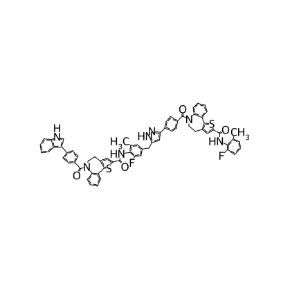 Cc1cccc(F)c1NC(=O)c1cc2c(s1)-c1ccccc1N(C(=O)c1ccc(-c3cc(Cc4cc(C)c(NC(=O)c5cc6c(s5)-c5ccccc5N(C(=O)c5ccc(-c7c[nH]c8ccccc78)cc5)CC6)c(F)c4)[nH]n3)cc1)CC2